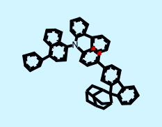 c1ccc(-c2ccccc2N(c2ccc(-c3ccc4c(c3)C3(c5ccccc5-4)C4CC5CC(C4)CC3C5)cc2)c2ccc(-c3ccccc3)c3ccccc23)cc1